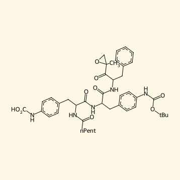 CCCCCC(=O)NC(Cc1ccc(NC(=O)O)cc1)C(=O)NC(Cc1ccc(NC(=O)OC(C)(C)C)cc1)C(=O)NC(Cc1ccccc1)C(=O)C1(C)CO1